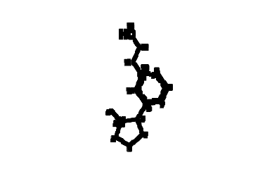 CN1CCCC1c1ccc[n+](CCO)c1